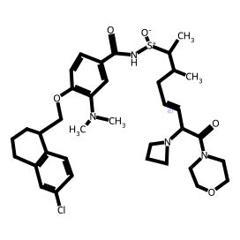 CC(C/C=C/C(C(=O)N1CCOCC1)N1CCC1)C(C)[S+]([O-])NC(=O)c1ccc(OCC2CCCc3cc(Cl)ccc32)c(N(C)C)c1